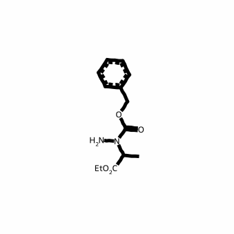 CCOC(=O)C(C)N(N)C(=O)OCc1ccccc1